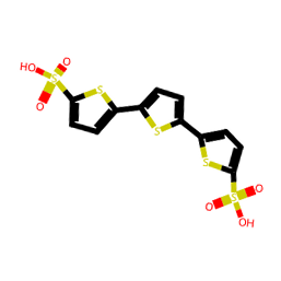 O=S(=O)(O)c1ccc(-c2ccc(-c3ccc(S(=O)(=O)O)s3)s2)s1